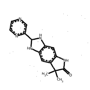 CC1(C)C(=O)Nc2cc3c(cc21)NC(c1cnccn1)N3